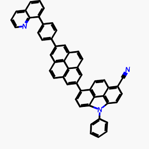 N#Cc1ccc2c3c1ccc1c(-c4cc5ccc6cc(-c7ccc(-c8cccc9cccnc89)cc7)cc7ccc(c4)c5c67)ccc(c13)n2-c1ccccc1